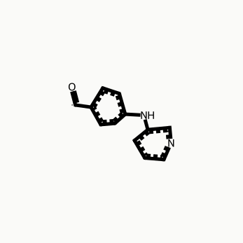 O=[C]c1ccc(Nc2cccnc2)cc1